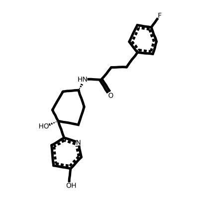 O=C(CCc1ccc(F)cc1)N[C@H]1CC[C@](O)(c2ccc(O)cn2)CC1